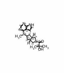 CN(c1ncnc2[nH]ccc12)C1C[C@@H]2CN(C(=O)C(C)(C)O)C[C@@H]2C1